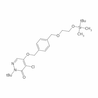 CC(C)(C)n1ncc(OCc2ccc(COCCO[Si](C)(C)C(C)(C)C)cc2)c(Cl)c1=O